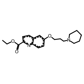 CCOC(=O)c1ccc2cc(OCCCN3CCCCC3)ccc2n1